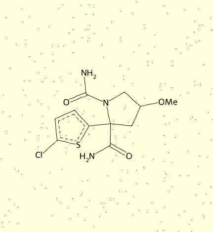 COC1CN(C(N)=O)C(C(N)=O)(c2ccc(Cl)s2)C1